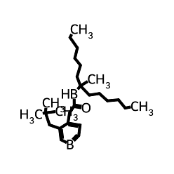 CCCCCCC(C)(BC(=O)Cc1ccbcc1CC(C)(C)C)CCCCCC